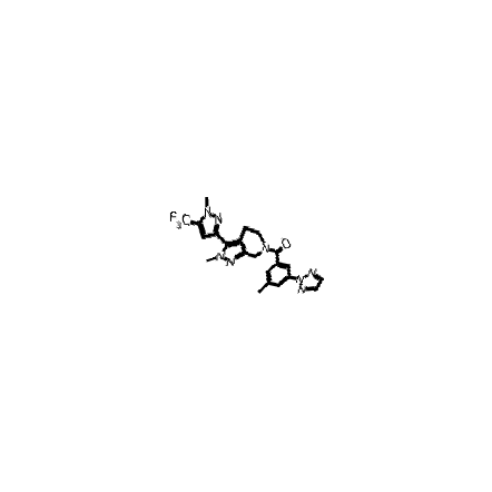 Cc1cc(C(=O)N2CCc3c(nn(C)c3-c3cc(C(F)(F)F)n(C)n3)C2)cc(-n2nccn2)c1